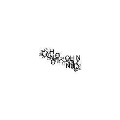 N#Cc1ccccc1OC(N)C(O)CCCC(=O)C(=O)NCc1ccccc1